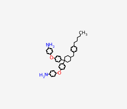 CCCCCc1ccc(CC2CCC(c3ccc(Oc4ccc(N)cc4)cc3)(c3ccc(Oc4ccc(N)cc4)cc3)CC2)cc1